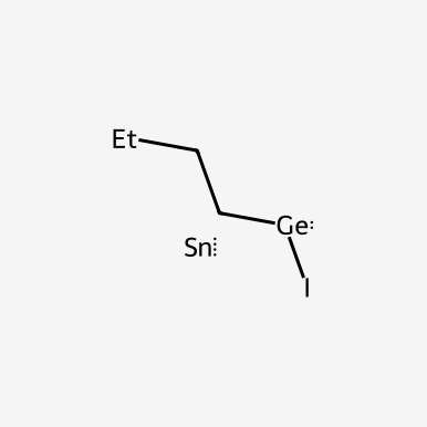 CCC[CH2][Ge][I].[Sn]